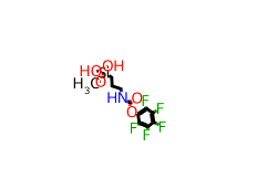 CO[Si](O)(O)CCCNC(=O)Oc1c(F)c(F)c(F)c(F)c1F